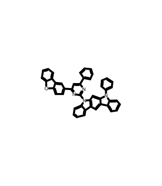 c1ccc(-c2cc(-c3ccc4oc5ccccc5c4c3)nc(-n3c4ccccc4c4cc5c6ccccc6n(-c6ccccc6)c5cc43)n2)cc1